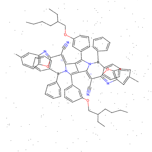 CCCCC(CC)COc1cccc(-c2c3/c(=C(\C#N)c4nc5cc(C)ccc5o4)n(B(c4ccccc4)c4ccccc4)c(-c4cccc(OCC(CC)CCCC)c4)c3/c(=C(\C#N)c3nc4cc(C)ccc4o3)n2B(c2ccccc2)c2ccccc2)c1